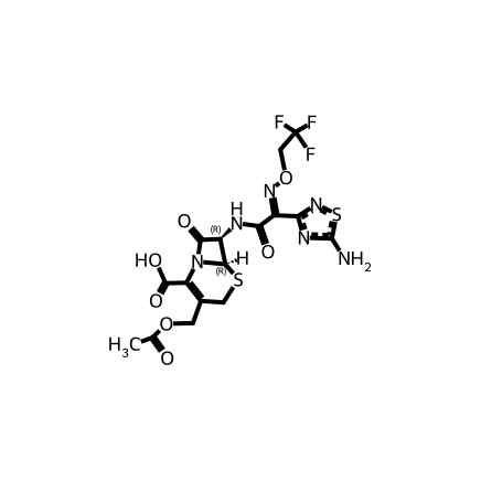 CC(=O)OCC1=C(C(=O)O)N2C(=O)[C@@H](NC(=O)C(=NOCC(F)(F)F)c3nsc(N)n3)[C@H]2SC1